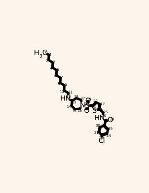 CCCCCCCCCCCCNC1CCCN(S(=O)(=O)c2ccc(CNC(=O)c3ccc(Cl)cc3)s2)CC1